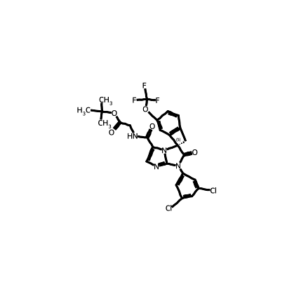 CC(C)(C)OC(=O)CNC(=O)c1cnc2n1[C@]1(Cc3ccc(OC(F)(F)F)cc31)C(=O)N2c1cc(Cl)cc(Cl)c1